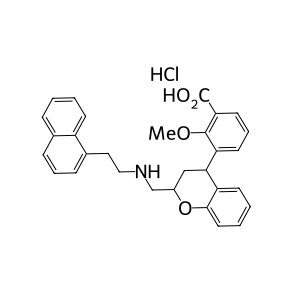 COc1c(C(=O)O)cccc1C1CC(CNCCc2cccc3ccccc23)Oc2ccccc21.Cl